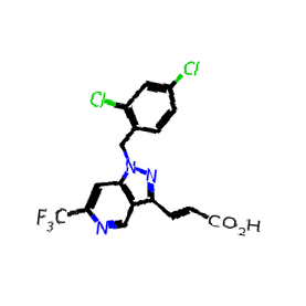 O=C(O)C=Cc1nn(Cc2ccc(Cl)cc2Cl)c2cc(C(F)(F)F)ncc12